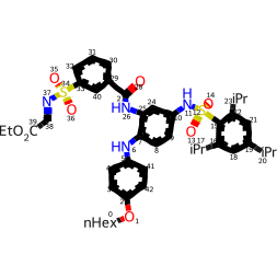 CCCCCCOc1ccc(Nc2ccc(NS(=O)(=O)c3c(C(C)C)cc(C(C)C)cc3C(C)C)cc2NC(=O)c2cccc(S(=O)(=O)N=CC(=O)OCC)c2)cc1